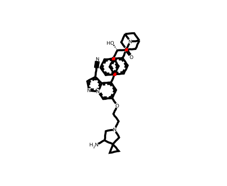 N#Cc1cnn2cc(OCCN3CC(N)C4(CC4)C3)cc(-c3ccc(N4CC5CC(C4)N5C(=O)[C@@H](O)c4ccccc4)nc3)c12